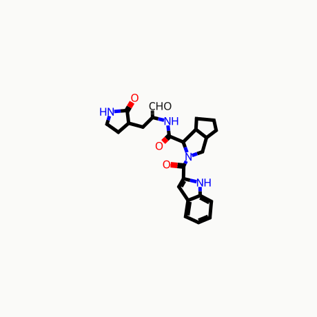 O=CC(CC1CCNC1=O)NC(=O)C1C2CCCC2CN1C(=O)c1cc2ccccc2[nH]1